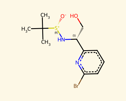 CC(C)(C)[S@+]([O-])N[C@H](CO)c1cccc(Br)n1